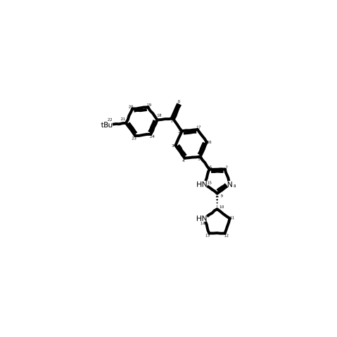 C=C(c1ccc(-c2cnc([C@@H]3CCCN3)[nH]2)cc1)c1ccc(C(C)(C)C)cc1